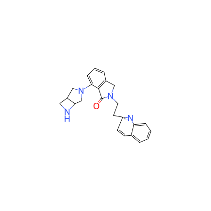 O=C1c2c(cccc2N2CC3CNC3C2)CN1CCc1ccc2ccccc2n1